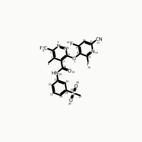 Cc1c(C(F)(F)F)nnc(Oc2c(F)cc(C#N)nc2F)c1C(=O)Nc1cccc(S(C)(=O)=O)c1